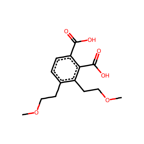 COCCc1ccc(C(=O)O)c(C(=O)O)c1CCOC